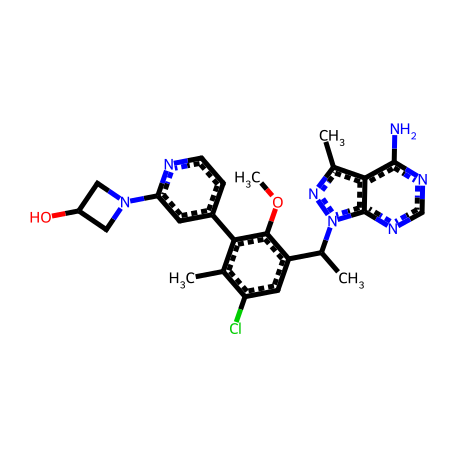 COc1c(C(C)n2nc(C)c3c(N)ncnc32)cc(Cl)c(C)c1-c1ccnc(N2CC(O)C2)c1